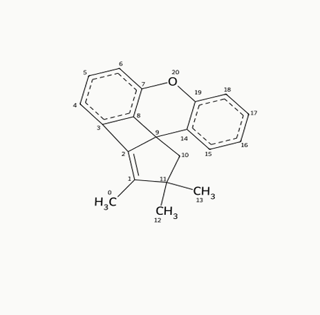 CC1=C2c3cccc4c3C2(CC1(C)C)c1ccccc1O4